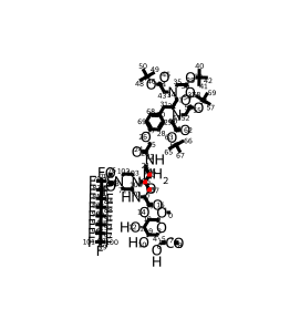 CO[C@H]1O[C@H](C(O)=C=O)[C@@H](O)[C@H](O)[C@@H]1OC(=O)[C@H](CCCCNC(=O)COc1ccc(CC(CN(CC(=O)OC(C)(C)C)CC(=O)OC(C)(C)C)N(CC(=O)OC(C)(C)C)CC(=O)OC(C)(C)C)cc1)NC1CN(S(=O)(=O)C(F)(F)C(F)(F)C(F)(F)C(F)(F)C(F)(F)C(F)(F)C(F)(F)C(F)(F)F)CCN1C(N)=O